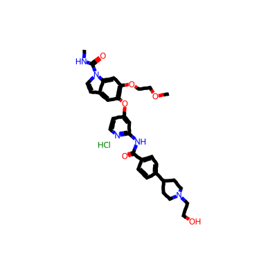 CNC(=O)n1ccc2cc(Oc3ccnc(NC(=O)c4ccc(C5CCN(CCO)CC5)cc4)c3)c(OCCOC)cc21.Cl